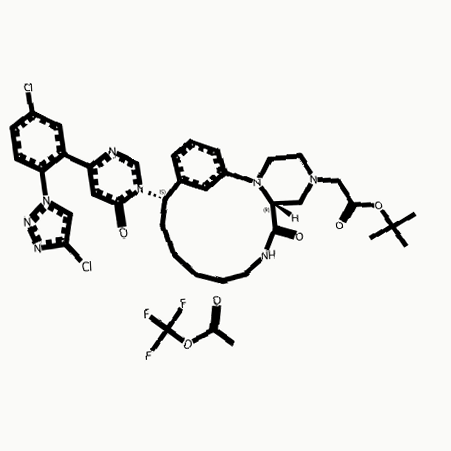 CC(=O)OC(F)(F)F.CC(C)(C)OC(=O)CN1CCN2c3cccc(c3)[C@@H](n3cnc(-c4cc(Cl)ccc4-n4cc(Cl)nn4)cc3=O)CCCCCNC(=O)[C@H]2C1